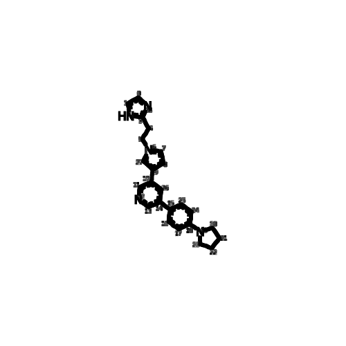 c1c[nH]c(CCn2ccc(-c3cncc(-c4ccc(N5CCCC5)cc4)c3)c2)n1